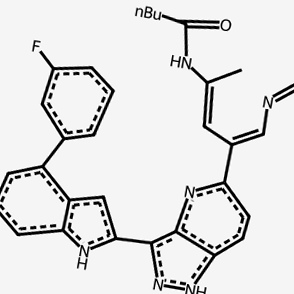 C=N/C=C(\C=C(/C)NC(=O)CCCC)c1ccc2[nH]nc(-c3cc4c(-c5cccc(F)c5)cccc4[nH]3)c2n1